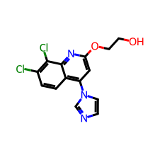 OCCOc1cc(-n2ccnc2)c2ccc(Cl)c(Cl)c2n1